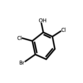 Oc1c(Cl)ccc(Br)c1Cl